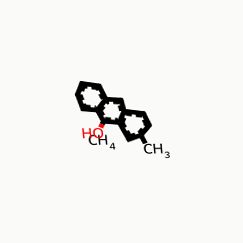 C.Cc1ccc2cc3ccccc3c(O)c2c1